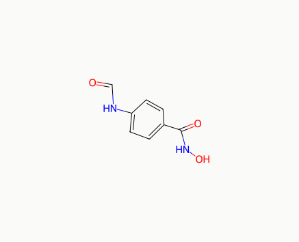 O=CNc1ccc(C(=O)NO)cc1